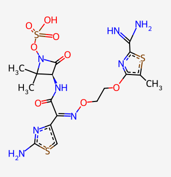 Cc1sc(C(=N)N)nc1OCCO/N=C(\C(=O)N[C@@H]1C(=O)N(OS(=O)(=O)O)C1(C)C)c1csc(N)n1